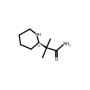 CC(C)(C(N)=O)[C@H]1CCCCN1